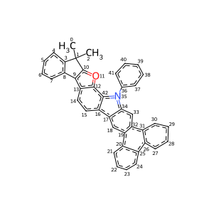 CC1(C)c2ccccc2-c2c1oc1c2ccc2c3cc4c5ccccc5c5ccccc5c4cc3n(-c3ccccc3)c21